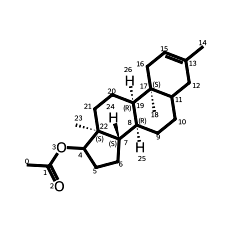 CC(=O)OC1CC[C@H]2[C@@H]3CCC4CC(C)=CC[C@]4(C)[C@@H]3CC[C@]12C